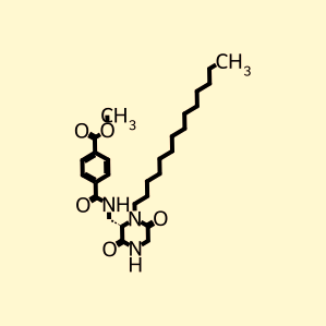 CCCCCCCCCCCCCCN1C(=O)CNC(=O)[C@@H]1CNC(=O)c1ccc(C(=O)OC)cc1